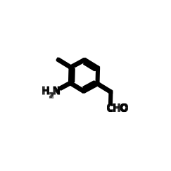 Cc1ccc(CC=O)cc1N